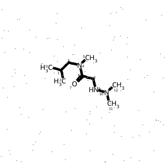 CC(C)CN(C)C(=O)CNN(C)C